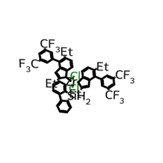 CCC1=Cc2c(ccc(CC)c2-c2cc(C(F)(F)F)cc(C(F)(F)F)c2)[CH]1[Zr]([Cl])([Cl])([c]1cccc2c1[SiH2]c1ccccc1-2)[CH]1C(CC)=Cc2c1ccc(CC)c2-c1cc(C(F)(F)F)cc(C(F)(F)F)c1